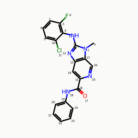 Cn1c(Nc2c(F)cccc2Cl)nc2cc(C(=O)Nc3ccccc3)ncc21